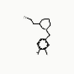 CC(C)CCC1CCCN(Cc2ccc(Cl)c(Cl)c2)C1